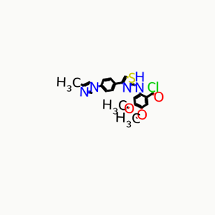 COc1cc(Nc2nc(-c3ccc(-n4cnc(C)c4)cc3)cs2)c(C(=O)Cl)cc1OC